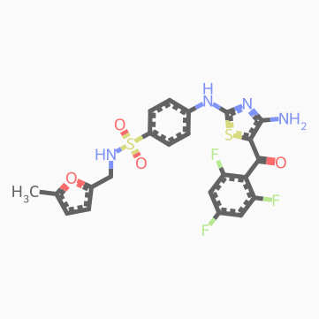 Cc1ccc(CNS(=O)(=O)c2ccc(Nc3nc(N)c(C(=O)c4c(F)cc(F)cc4F)s3)cc2)o1